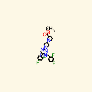 CCOC(=O)C1CCCN(C2CCN(c3ncc(-c4ccc(F)cc4F)c(NCc4ccc(F)cc4F)n3)CC2)C1